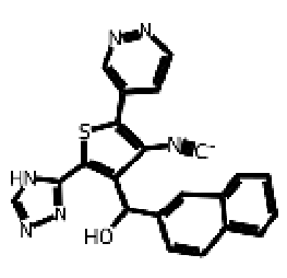 [C-]#[N+]c1c(-c2ccnnc2)sc(-c2nnc[nH]2)c1C(O)c1ccc2ccccc2c1